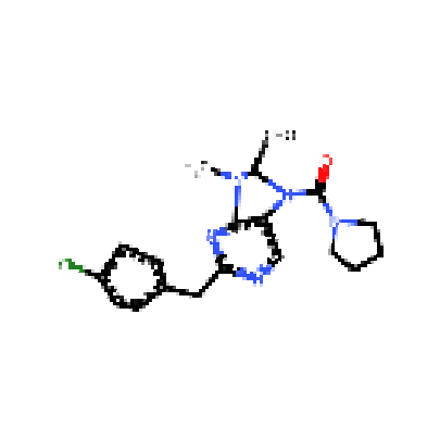 CN1c2nc(Cc3ccc(Cl)cc3)ncc2N(C(=O)N2CCCC2)C1C=O